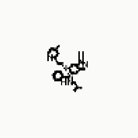 C=C(C)CNC(=O)c1ccccc1N(C=Cc1cc(C)ccn1)c1ccc2cn[nH]c2c1